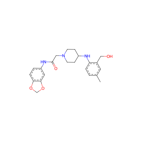 Cc1ccc(NC2CCN(CC(=O)Nc3ccc4c(c3)OCO4)CC2)c(CO)c1